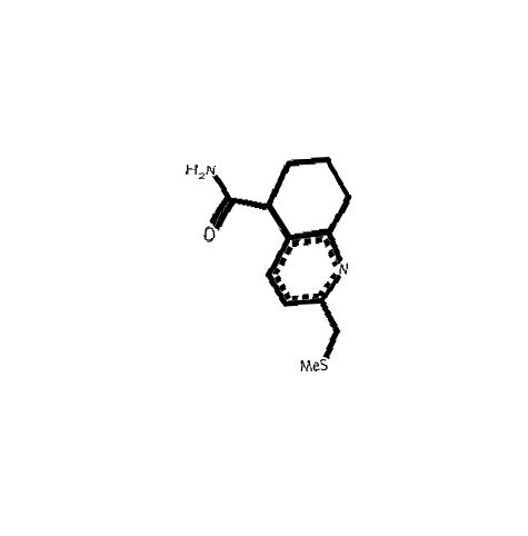 CSCc1ccc2c(n1)CCCC2C(N)=O